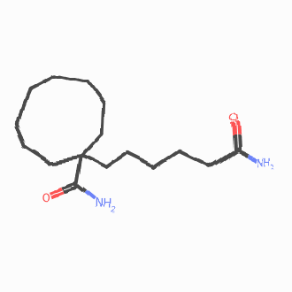 NC(=O)CCCCCC1(C(N)=O)CCCCCCCC1